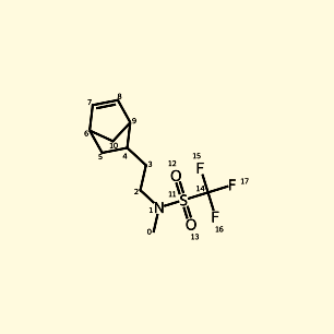 CN(CCC1CC2C=CC1C2)S(=O)(=O)C(F)(F)F